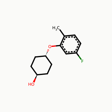 Cc1ccc(F)cc1O[C@H]1CC[C@H](O)CC1